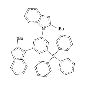 CC(C)(C)c1cc2ccccc2n1-c1cc(-n2c(C(C)(C)C)cc3ccccc32)cc([Si](c2ccccc2)(c2ccccc2)c2ccccc2)c1